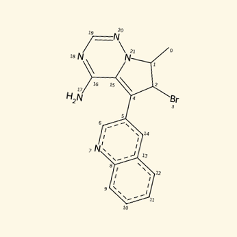 CC1C(Br)C(c2cnc3ccccc3c2)=C2C(N)=NC=NN21